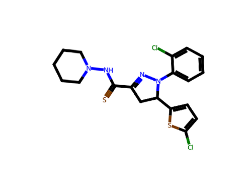 S=C(NN1CCCCC1)C1=NN(c2ccccc2Cl)C(c2ccc(Cl)s2)C1